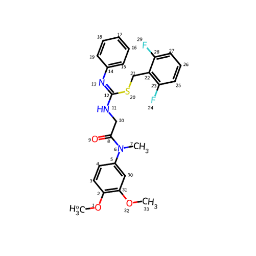 COc1ccc(N(C)C(=O)CNC(=Nc2ccccc2)SCc2c(F)cccc2F)cc1OC